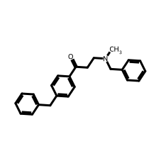 CN(CCC(=O)c1ccc(Cc2ccccc2)cc1)Cc1ccccc1